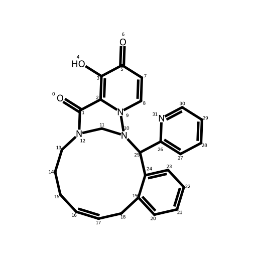 O=C1c2c(O)c(=O)ccn2N2CN1CCC/C=C\Cc1ccccc1C2c1ccccn1